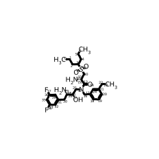 CCCC(CCC)S(=O)(=O)C[C@@H](N)C(=O)N(Cc1cccc(CC)c1)C[C@@H](O)[C@@H](N)Cc1cc(F)cc(F)c1